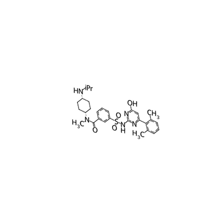 Cc1cccc(C)c1-c1cc(O)nc(NS(=O)(=O)c2cccc(C(=O)N(C)[C@H]3CC[C@@H](NC(C)C)CC3)c2)n1